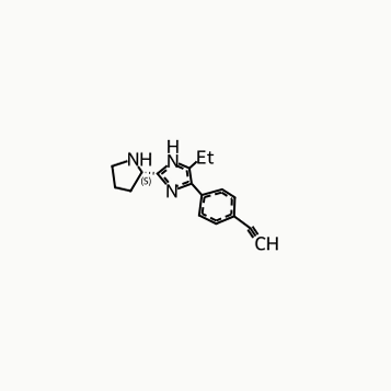 C#Cc1ccc(-c2nc([C@@H]3CCCN3)[nH]c2CC)cc1